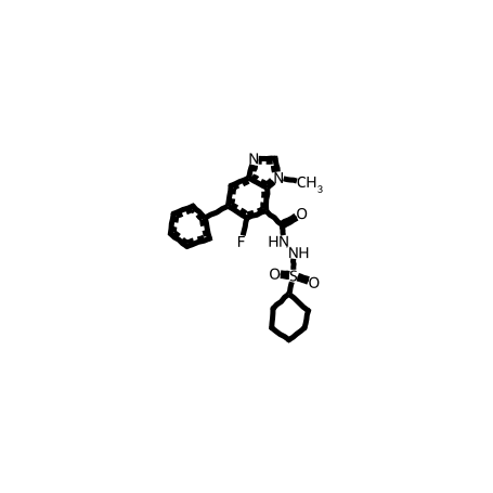 Cn1cnc2cc(-c3ccccc3)c(F)c(C(=O)NNS(=O)(=O)C3CCCCC3)c21